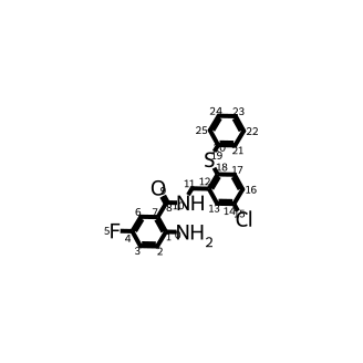 Nc1ccc(F)cc1C(=O)NCc1cc(Cl)ccc1Sc1ccccc1